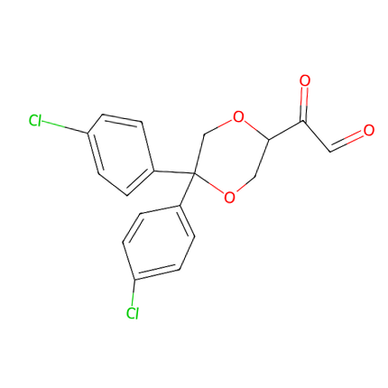 O=CC(=O)C1COC(c2ccc(Cl)cc2)(c2ccc(Cl)cc2)CO1